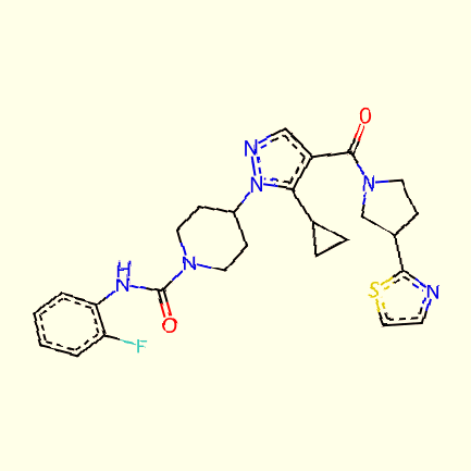 O=C(Nc1ccccc1F)N1CCC(n2ncc(C(=O)N3CCC(c4nccs4)C3)c2C2CC2)CC1